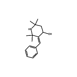 CC1(C)CC(O)C(=Cc2ccccc2)C(C)(C)N1